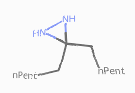 CCCCCCC1(CCCCCC)NN1